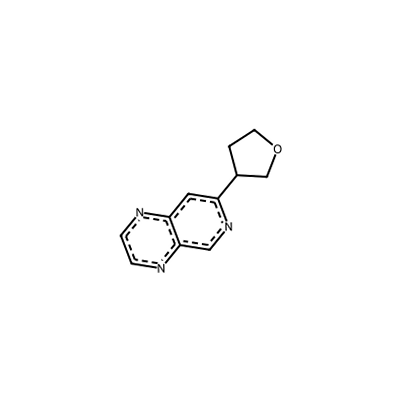 c1cnc2cc(C3CCOC3)ncc2n1